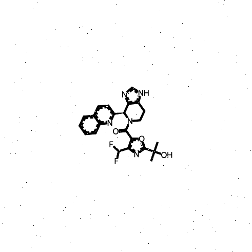 CC(C)(O)c1nc(C(F)F)c(C(=O)N2CCc3[nH]cnc3[C@@H]2c2ccc3ccccc3n2)o1